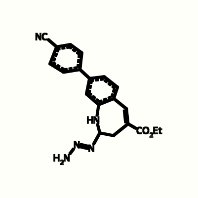 CCOC(=O)C1=Cc2ccc(-c3ccc(C#N)cc3)cc2NC(N=NN)C1